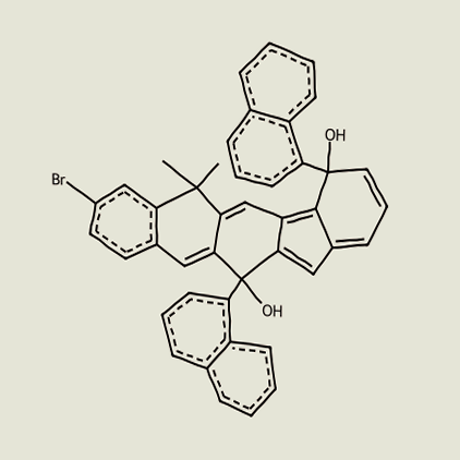 CC1(C)C2=CC3=C4C(=CC=CC4(O)c4cccc5ccccc45)C=C3C(O)(c3cccc4ccccc34)C2=Cc2ccc(Br)cc21